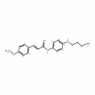 COc1ccc(/C=C/C(=O)Oc2ccc(OCCCO)cc2)cc1